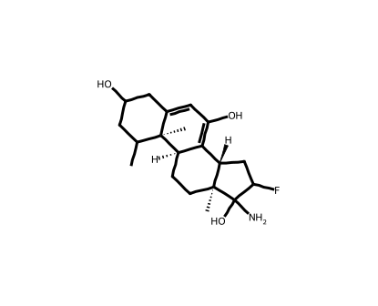 CC1CC(O)CC2=CC(O)=C3[C@@H](CC[C@@]4(C)[C@H]3CC(F)C4(N)O)[C@]21C